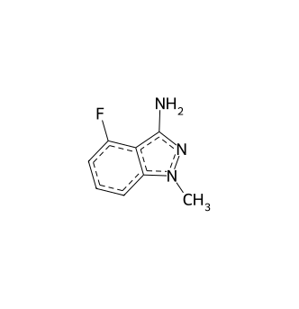 Cn1nc(N)c2c(F)cccc21